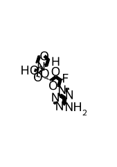 Nc1ncnc2c1ncn2[C@@H]1O[C@H](COP(=O)(O)N2CCOCC2)C(O)[C@@H]1F